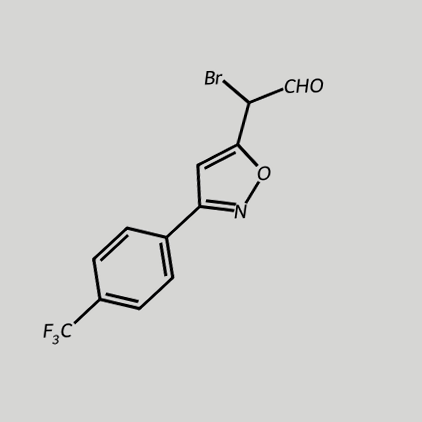 O=CC(Br)c1cc(-c2ccc(C(F)(F)F)cc2)no1